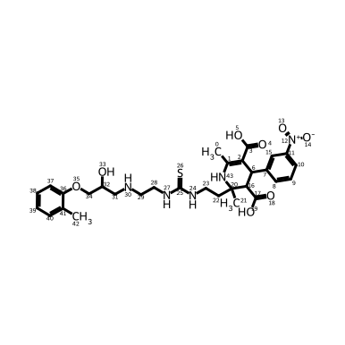 CC1=C(C(=O)O)C(c2cccc([N+](=O)[O-])c2)C(C(=O)O)C(C)(CCNC(=S)NCCNCC(O)COc2ccccc2C)N1